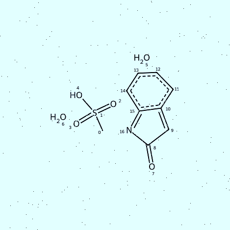 CS(=O)(=O)O.O.O.O=C1C=c2ccccc2=N1